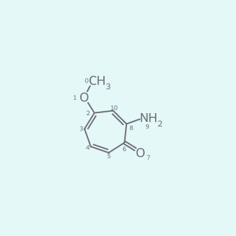 COc1cccc(=O)c(N)c1